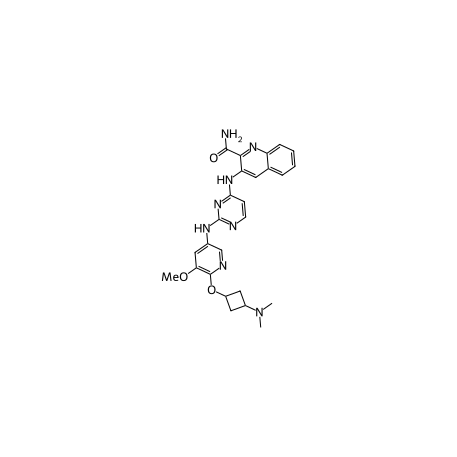 COc1cc(Nc2nccc(Nc3cc4ccccc4nc3C(N)=O)n2)cnc1OC1CC(N(C)C)C1